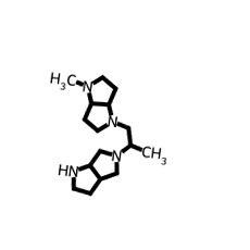 CC(CN1CCC2C1CCN2C)N1CC2CCNC2C1